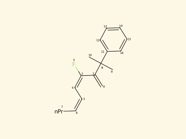 C=C(/C(F)=C\C=C/CCC)C(C)(C)c1ccccc1